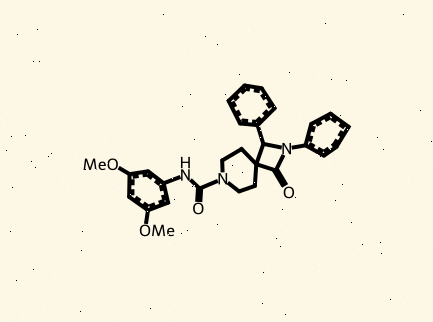 COc1cc(NC(=O)N2CCC3(CC2)C(=O)N(c2ccccc2)C3c2ccccc2)cc(OC)c1